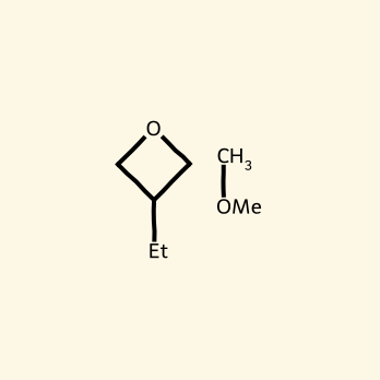 CCC1COC1.COC